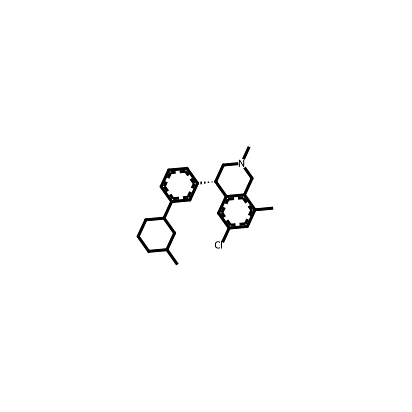 Cc1cc(Cl)cc2c1CN(C)C[C@H]2c1cccc(C2CCCC(C)C2)c1